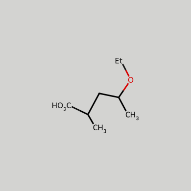 CCOC(C)CC(C)C(=O)O